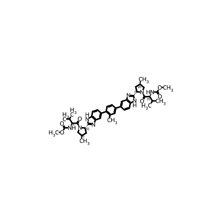 COC(=O)N[C@H](C(=O)N1C[C@H](C)C[C@H]1c1nc2cc(-c3ccc(-c4ccc5[nH]c([C@@H]6C[C@@H](C)CN6C(=O)[C@@H](NC(=O)OC)C(C)C)nc5c4)c(C)c3)ccc2[nH]1)C(C)C